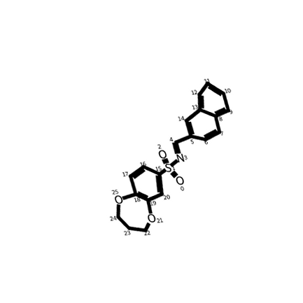 O=S(=O)(N=Cc1ccc2ccccc2c1)c1ccc2c(c1)OCCCO2